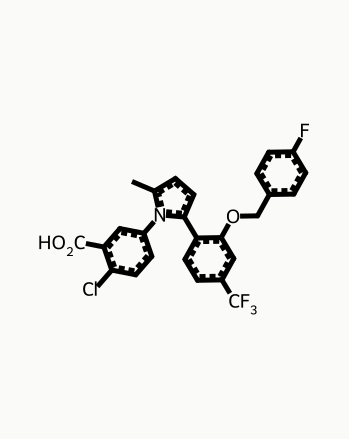 Cc1ccc(-c2ccc(C(F)(F)F)cc2OCc2ccc(F)cc2)n1-c1ccc(Cl)c(C(=O)O)c1